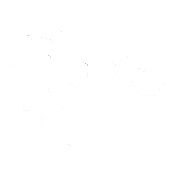 CC(=O)NC1CN(CC2Cc3ccccc3C2)CCC1=C1c2ccccc2C=Cc2ccccc21.Cl